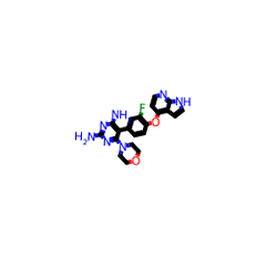 Nc1nc(N)c(-c2ccc(Oc3ccnc4[nH]ccc34)c(F)c2)c(N2CCOCC2)n1